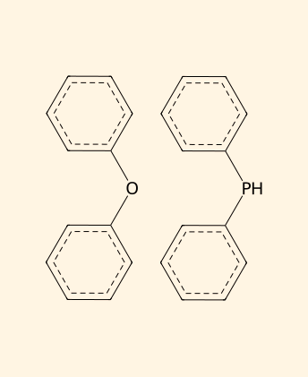 c1ccc(Oc2ccccc2)cc1.c1ccc(Pc2ccccc2)cc1